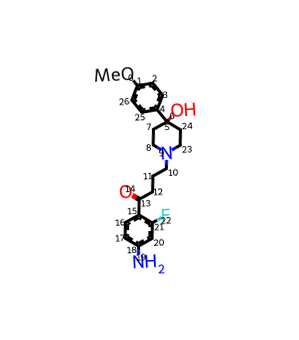 COc1ccc(C2(O)CCN(CCCC(=O)c3ccc(N)cc3F)CC2)cc1